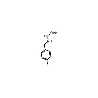 CC(=O)ONNCc1ccc(Cl)cc1